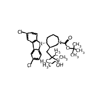 CC(C)(C)OC(=O)N1CCC[C@@H](n2c3ccc(Cl)cc3c3cc(Cl)ccc32)[C@H](CC(C)(C)[Si](C)(C)O)C1